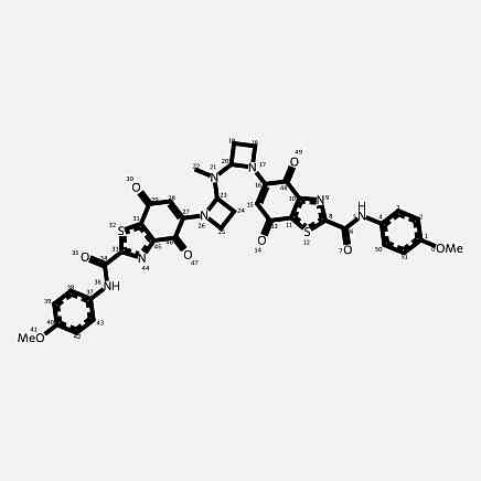 COc1ccc(NC(=O)c2nc3c(s2)C(=O)C=C(N2CCC2N(C)C2CCN2C2=CC(=O)c4sc(C(=O)Nc5ccc(OC)cc5)nc4C2=O)C3=O)cc1